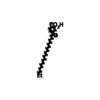 CCC=CCC=CCC=CCC=CCC=CCC=CCCC(=O)N1CC=C(C(=O)O)CC1